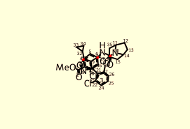 COC(=O)c1ccc(NC(=O)N2C3CCC2CC(OCc2c(-c4c(Cl)cccc4Cl)noc2C2CC2)C3)cc1C(F)(F)F